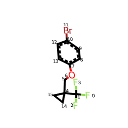 FC(F)(F)C1(COc2ccc(Br)cc2)CC1